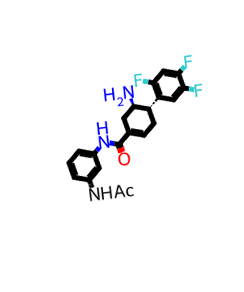 CC(=O)Nc1cccc(NC(=O)C2=CC[C@@H](c3cc(F)c(F)cc3F)[C@H](N)C2)c1